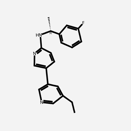 CCc1cncc(-c2ccc(N[C@H](C)c3cccc(F)c3)nc2)c1